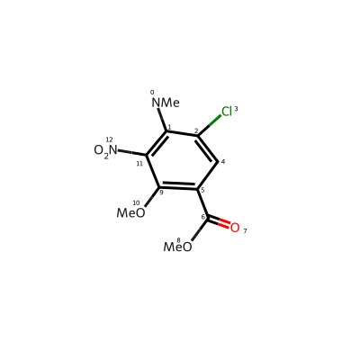 CNc1c(Cl)cc(C(=O)OC)c(OC)c1[N+](=O)[O-]